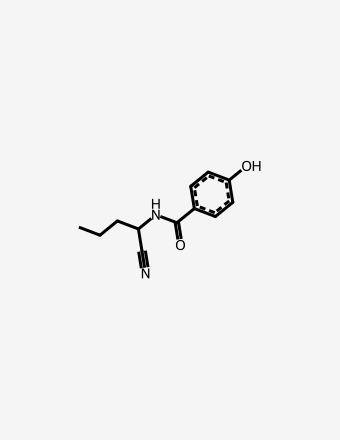 CCCC(C#N)NC(=O)c1ccc(O)cc1